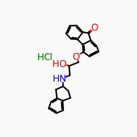 Cl.O=C1c2ccccc2-c2c(OCC(O)CNC3CCc4ccccc4C3)cccc21